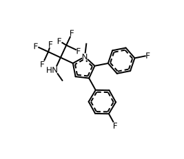 CNC(c1cc(-c2ccc(F)cc2)c(-c2ccc(F)cc2)n1C)(C(F)(F)F)C(F)(F)F